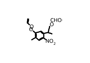 C=COOc1cc(C(C)CO[C]=O)c([N+](=O)[O-])cc1C